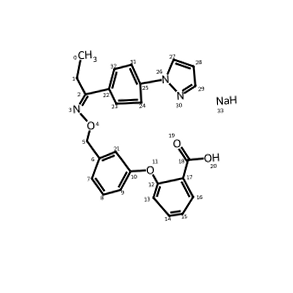 CCC(=NOCc1cccc(Oc2ccccc2C(=O)O)c1)c1ccc(-n2cccn2)cc1.[NaH]